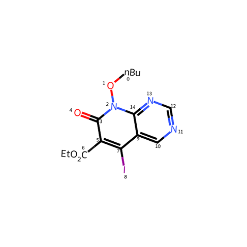 CCCCOn1c(=O)c(C(=O)OCC)c(I)c2cncnc21